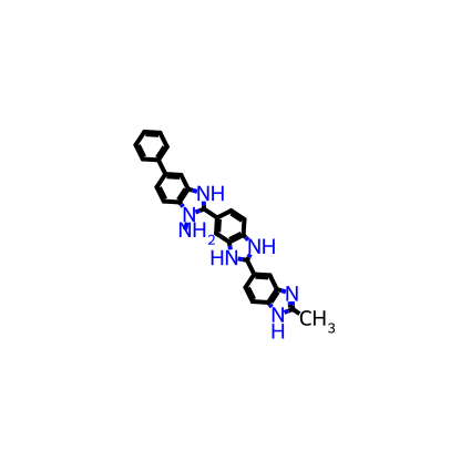 Cc1nc2cc(C3Nc4ccc(C5Nc6cc(-c7ccccc7)ccc6N5N)cc4N3)ccc2[nH]1